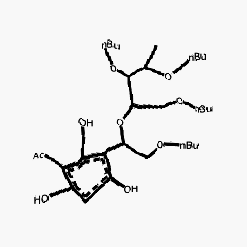 CCCCOCC(OC(COCCCC)C(OCCCC)C(C)OCCCC)c1c(O)cc(O)c(C(C)=O)c1O